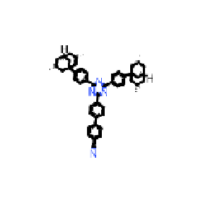 C[C@@H]1C[C@@H]2C[C@H](C)CC(c3ccc(-c4nc(-c5ccc(-c6ccc(C#N)cc6)cc5)nc(-c5ccc(C67C[C@H](C)C[C@H](C[C@H](C)C6)C7)cc5)n4)cc3)(C1)C2